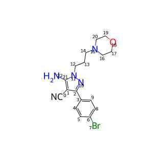 N#Cc1c(-c2ccc(Br)cc2)nn(CCCN2CCOCC2)c1N